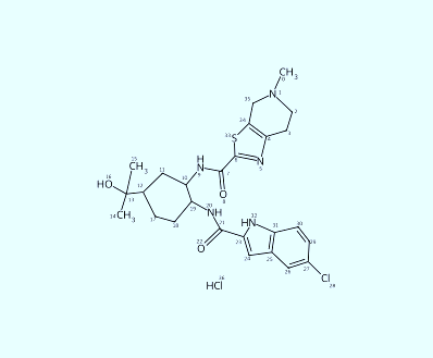 CN1CCc2nc(C(=O)NC3CC(C(C)(C)O)CCC3NC(=O)c3cc4cc(Cl)ccc4[nH]3)sc2C1.Cl